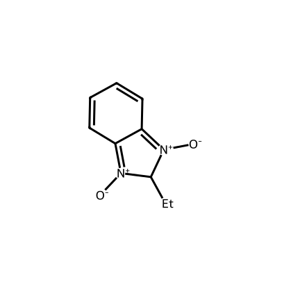 CCC1[N+]([O-])=c2ccccc2=[N+]1[O-]